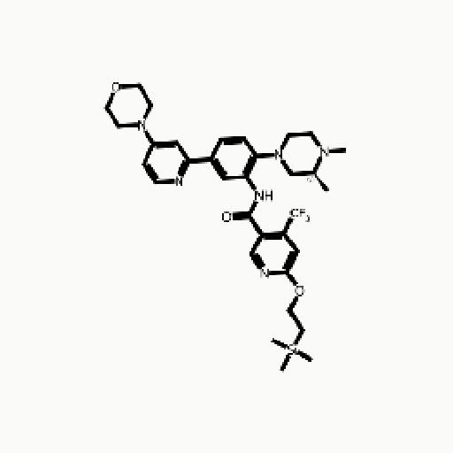 C[C@H]1CN(c2ccc(-c3cc(N4CCOCC4)ccn3)cc2NC(=O)c2cnc(OCC[Si](C)(C)C)cc2C(F)(F)F)CCN1C